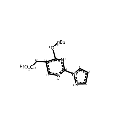 CCCCOc1nc(-n2cccn2)ncc1CC(=O)OCC